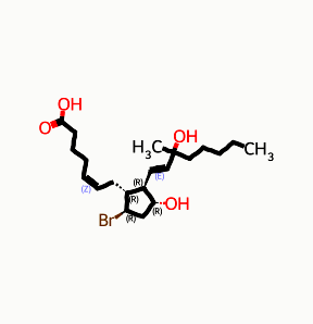 CCCCCC(C)(O)/C=C/[C@@H]1[C@@H](C/C=C\CCCC(=O)O)[C@H](Br)C[C@H]1O